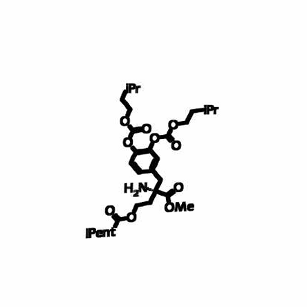 CCCC(C)C(=O)OCC[C@@](N)(Cc1ccc(OC(=O)OCCC(C)C)c(OC(=O)OCCC(C)C)c1)C(=O)OC